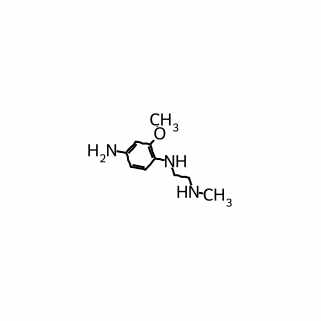 CNCCNc1ccc(N)cc1OC